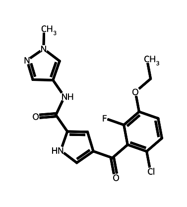 CCOc1ccc(Cl)c(C(=O)c2c[nH]c(C(=O)Nc3cnn(C)c3)c2)c1F